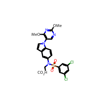 COc1ncc(-n2ccc3cc(N(CC(=O)O)S(=O)(=O)c4cc(Cl)cc(Cl)c4)ccc32)c(OC)n1